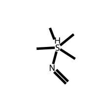 C=N[SH](C)(C)(C)C